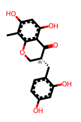 Cc1c(O)cc(O)c2c1OC[C@@H](Cc1ccc(O)cc1O)C2=O